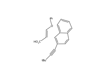 CC(C)(C)C#Cc1ccc2ccccc2c1.CC(C)OC=CC(=O)O